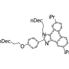 CCCCCCCCCCCCOc1ccc(-c2nc3c4cc(C(C)C)ccc4c4ccc(C(C)C)cc4c3n2CCCCCCCCCCCC)cc1